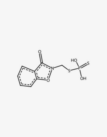 O=c1c2ccccc2on1CSP(O)(O)=S